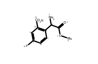 CC(C)(C)OC(=O)C(N)c1ccc(F)cc1C(=O)O